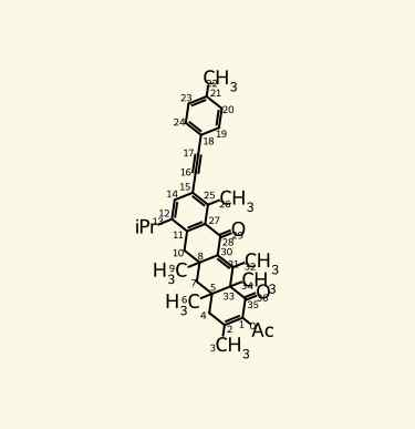 CC(=O)C1=C(C)CC2(C)CC3(C)Cc4c(C(C)C)cc(C#Cc5ccc(C)cc5)c(C)c4C(=O)C3=C(C)C2(C)C1=O